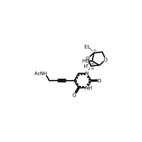 CC[C@@]12COC([C@H](n3cc(C#CCNC(C)=O)c(=O)[nH]c3=O)O1)[C@H]2O